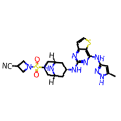 Cc1cc(Nc2nc(N[C@@H]3C[C@H]4CC(S(=O)(=O)N5CC(C#N)C5)C[C@@H](C3)N4)nc3ccsc23)n[nH]1